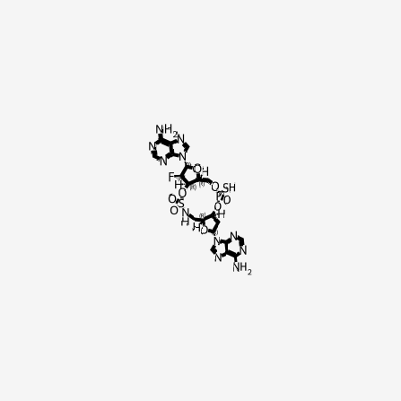 Nc1ncnc2c1ncn2[C@@H]1O[C@@H]2CO[P@@](=O)(S)O[C@H]3C[C@H](n4cnc5c(N)ncnc54)O[C@@H]3CNS(=O)(=O)O[C@H]2[C@H]1F